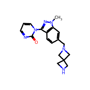 Cn1nc(-n2cccnc2=O)c2ccc(CN3CC4(CNC4)C3)cc21